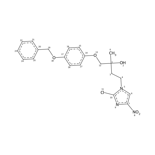 CC(O)(CCn1cc([N+](=O)[O-])nc1Cl)COc1ccc(OCc2ccccc2)cc1